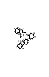 c1ccc2[nH]c(CNC3CCCC[C@H]3NCc3cc4ccccc4[nH]3)cc2c1